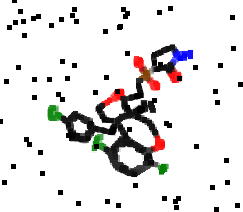 O=C1NCC[C@H]1S(=O)(=O)CC[C@@H]1OCC[C@@]2(Cc3ccc(Cl)cc3)c3c(F)ccc(F)c3OC[C@@H]12